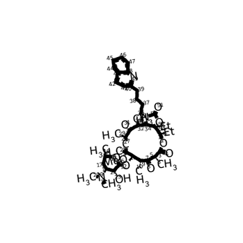 CC[C@H]1OC(=O)[C@H](C)C(=O)[C@H](C)[C@@H](OC2O[C@H](C)C[C@H](N(C)C)[C@H]2O)[C@@](C)(OC)C[C@@H](C)C(=O)C(C)[C@H]2N(CCCCc3ccc4ccccc4n3)C(=O)O[C@]12CC